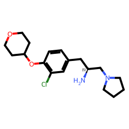 N[C@@H](Cc1ccc(OC2CCOCC2)c(Cl)c1)CN1CCCC1